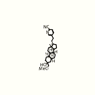 COC[C@@]1(O)CC[C@H]2[C@H](CC[C@@H]3[C@@H]2CC[C@]2(C)[C@@H](CCc4ccc(C#N)nc4)CC[C@@H]32)C1